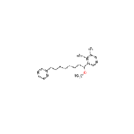 CCCc1cccc(C(CCCCCCCc2ccccc2)OC(=O)O)c1CCC